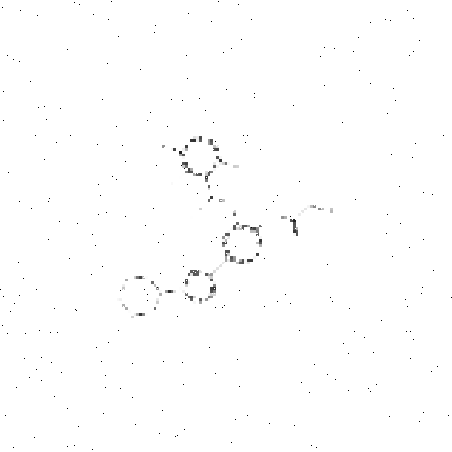 CC(Oc1cc(-c2cnn(C3CCNCC3)c2)cnc1NC(=O)CN)c1c(Cl)ccc(F)c1Cl